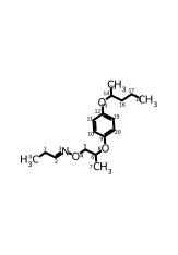 CCC=NOCC(C)Oc1ccc(OC(C)CCC)cc1